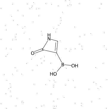 O=C1NC=C1B(O)O